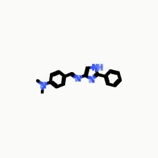 CN(C)c1ccc(C=Nc2c[nH]c(-c3ccccc3)n2)cc1